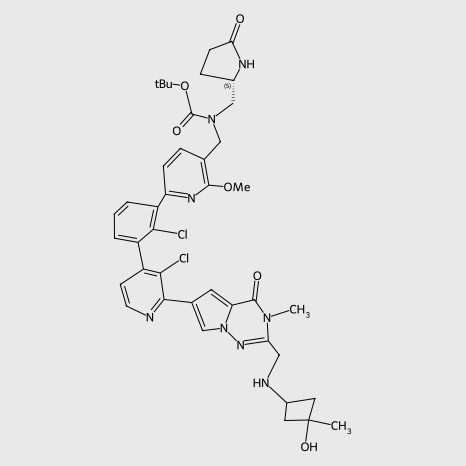 COc1nc(-c2cccc(-c3ccnc(-c4cc5c(=O)n(C)c(CNC6CC(C)(O)C6)nn5c4)c3Cl)c2Cl)ccc1CN(C[C@@H]1CCC(=O)N1)C(=O)OC(C)(C)C